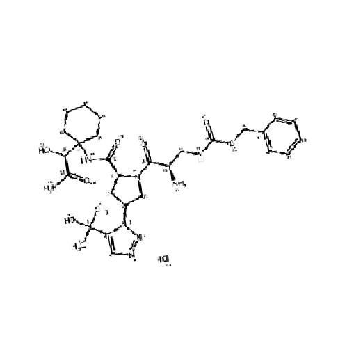 CC(C)(O)c1cnnn1[C@H]1C[C@@H](C(=O)NC2(C(O)C(N)=O)CCCCC2)N(C(=O)[C@H](N)CNC(=O)OCc2ccccc2)C1.Cl